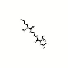 CCCC[C@H](N)C(=O)O[CH]COC(=O)[C@H](CC(C)C)N(C)C